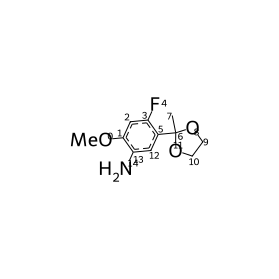 COc1cc(F)c(C2(C)OCCO2)cc1N